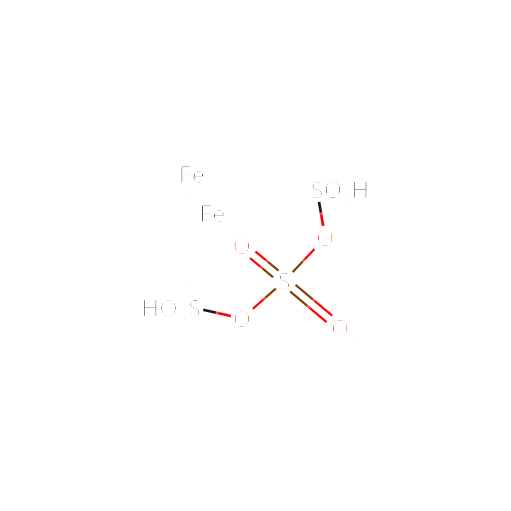 O=S(=O)(O)OS(=O)(=O)OS(=O)(=O)O.[Fe].[Fe]